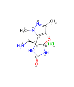 Cc1cc([C@@]2(CN)NC(=O)NC2=O)n(C)n1.Cl